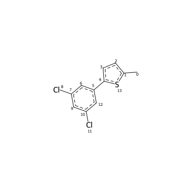 Cc1ccc(-c2cc(Cl)cc(Cl)c2)s1